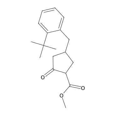 COC(=O)C1CC(Cc2ccccc2C(C)(C)C)CC1=O